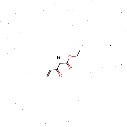 C=CC(=O)CC(=O)OCC.[H+]